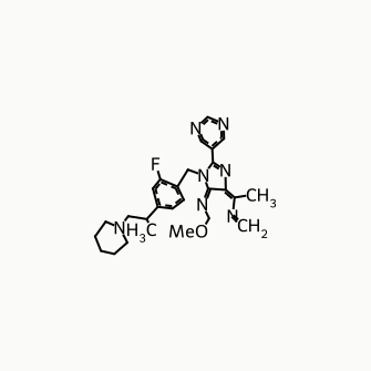 C=N/C(C)=C1/N=C(c2cncnc2)N(Cc2ccc(C(C)CN3CCCCC3)cc2F)/C1=N/COC